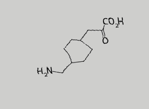 NCC1CCC(CC(=O)C(=O)O)CC1